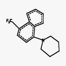 FC(F)(F)c1ccc(N2CCCCC2)c2ccccc12